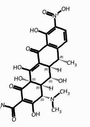 C[C@H]1c2ccc([N+](=O)O)c(O)c2C(=O)C2=C(O)[C@]3(O)C(=O)C(C(N)=O)=C(O)[C@@H](N(C)C)[C@@H]3[C@@H](O)[C@@H]21